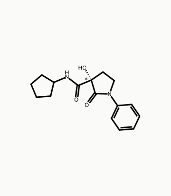 O=C(NC1CCCC1)[C@@]1(O)CCN(c2ccccc2)C1=O